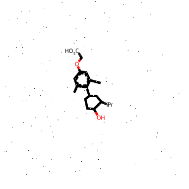 Cc1cc(OCC(=O)O)cc(C)c1C1CCC(O)C(C(C)C)C1